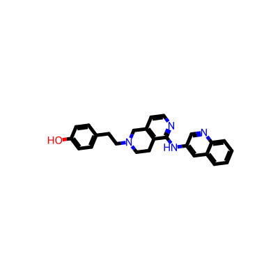 Oc1ccc(CCN2CCc3c(ccnc3Nc3cnc4ccccc4c3)C2)cc1